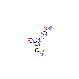 CN(Cc1nc2c(N3CCOCC3)nc(-c3cccc([S+](N)[O-])c3)nc2n1C)c1ncc(C(=O)NO)cn1